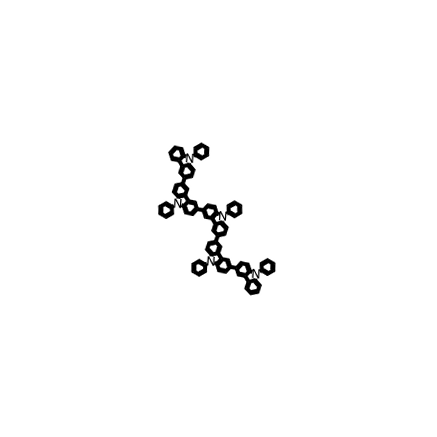 c1ccc(-n2c3ccccc3c3cc(-c4ccc5c(c4)c4cc(-c6ccc7c(c6)c6cc(-c8ccc9c(c8)c8cc(-c%10ccc%11c(c%10)c%10ccccc%10n%11-c%10ccccc%10)ccc8n9-c8ccccc8)ccc6n7-c6ccccc6)ccc4n5-c4ccccc4)ccc32)cc1